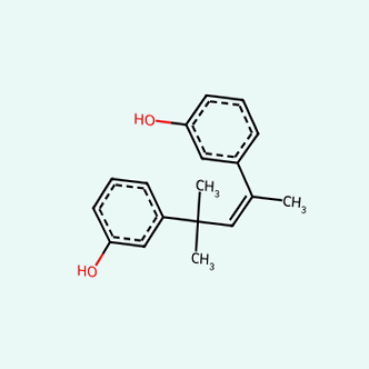 CC(=CC(C)(C)c1cccc(O)c1)c1cccc(O)c1